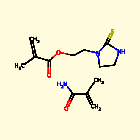 C=C(C)C(=O)OCCN1CCNC1=S.C=C(C)C(N)=O